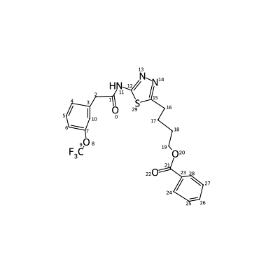 O=C(Cc1cccc(OC(F)(F)F)c1)Nc1nnc(CCCCOC(=O)c2ccccc2)s1